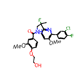 COc1cc(C(=O)NCC(C)(F)c2ccc(OC)c(-c3ccc(F)c(Cl)c3)n2)ccc1OCCO